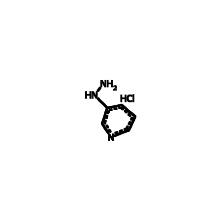 Cl.NNc1cccnc1